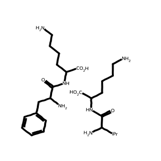 CC(C)C(N)C(=O)NC(CCCCN)C(=O)O.NCCCCC(NC(=O)C(N)Cc1ccccc1)C(=O)O